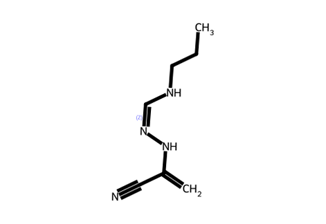 C=C(C#N)N/N=C\NCCC